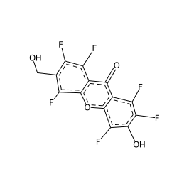 O=c1c2c(F)c(F)c(O)c(F)c2oc2c(F)c(CO)c(F)c(F)c12